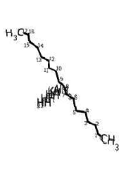 CCCCCCCCCCCCCCCCCC.[AlH3].[HH].[HH].[HH].[KH]